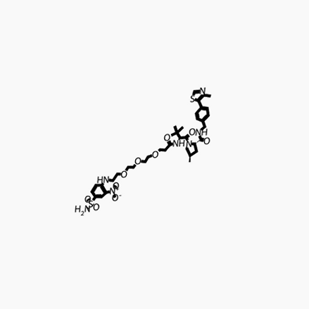 Cc1ncsc1-c1ccc(CNC(=O)[C@@H]2C[C@@H](C)CN2C(=O)[C@@H](NC(=O)CCOCCOCCOCCNc2ccc(S(N)(=O)=O)cc2[N+](=O)[O-])C(C)(C)C)cc1